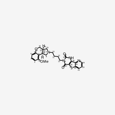 COc1cccc2c1[C@@H]1CN(CCCCn3c(=O)[nH]c4c(sc5cccnc54)c3=O)C[C@H]1CO2